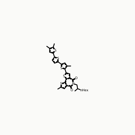 CCCCCCC(C)Cn1c(=O)c2cc(C)sc2c2sc(-c3sc(-c4ccc(-c5cc(C)c(C)s5)s4)cc3C)cc2c1=O